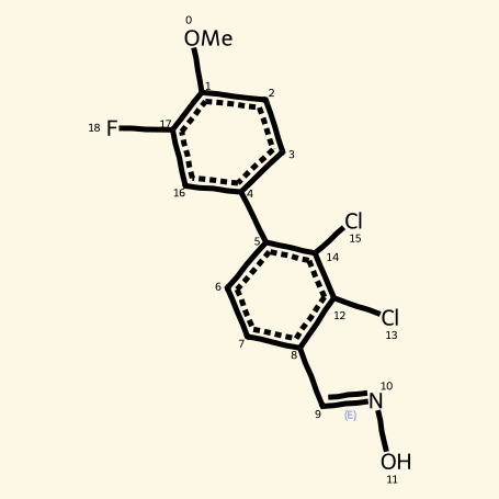 COc1ccc(-c2ccc(/C=N/O)c(Cl)c2Cl)cc1F